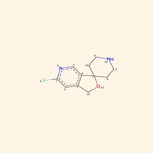 Fc1cc2c(cn1)C1(CCNCC1)OC2